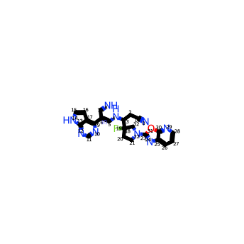 N#CCC(N/C=C(\C=N)c1ncnc2[nH]ccc12)C1(F)CCN(c2nc3cccnc3o2)C1